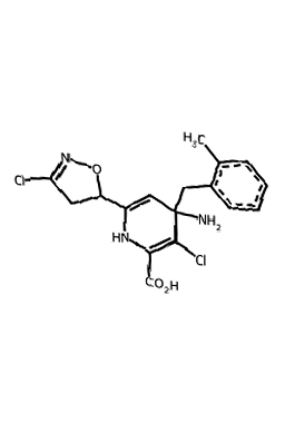 Cc1ccccc1CC1(N)C=C(C2CC(Cl)=NO2)NC(C(=O)O)=C1Cl